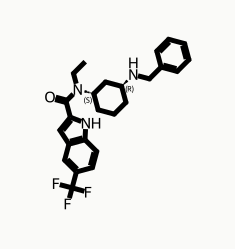 CCN(C(=O)c1cc2cc(C(F)(F)F)ccc2[nH]1)[C@H]1CCC[C@@H](NCc2ccccc2)C1